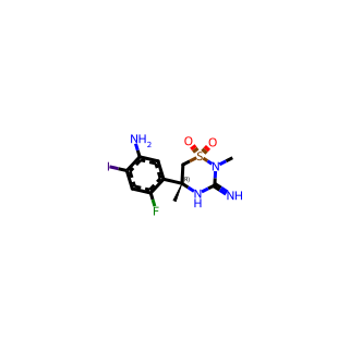 CN1C(=N)N[C@](C)(c2cc(N)c(I)cc2F)CS1(=O)=O